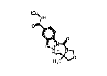 CC(C)(C)NC(=O)c1ccc2c(c1)nnn2C(=O)N1COCC1(C)C